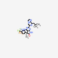 CC(C)Cc1nc(-c2nc(N)c3c(n2)NC(=O)C3(C)c2ccc(C(F)(F)P)cc2)cn2ccnc12